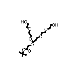 CC(C)(C)OC(=O)COC(CCOCCOCCO)OCCOCCO